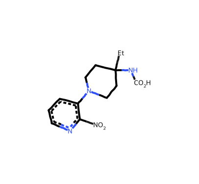 CCC1(NC(=O)O)CCN(c2cccnc2[N+](=O)[O-])CC1